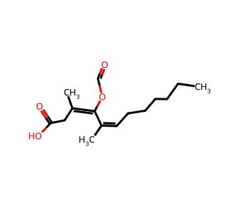 CCCCCC/C=C(C)\C(OC=O)=C(\C)CC(=O)O